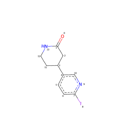 O=C1CC(c2ccc(I)nc2)CCN1